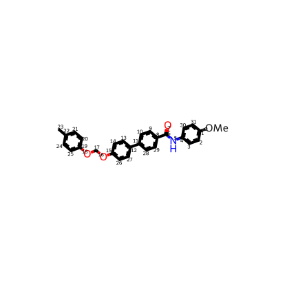 COc1ccc(NC(=O)c2ccc(-c3ccc(OCOc4ccc(C)cc4)cc3)cc2)cc1